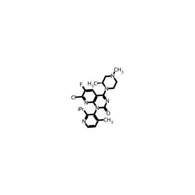 Cc1ccnc(C(C)C)c1-n1c(=O)nc(N2CCN(C)C[C@@H]2C)c2cc(F)c(Cl)nc21